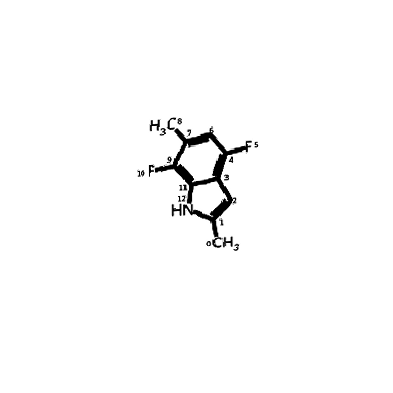 Cc1cc2c(F)cc(C)c(F)c2[nH]1